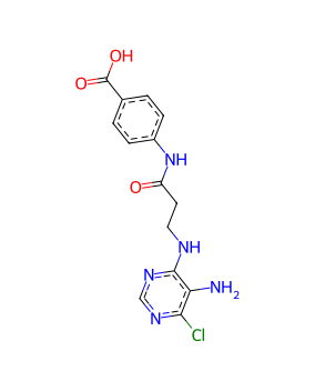 Nc1c(Cl)ncnc1NCCC(=O)Nc1ccc(C(=O)O)cc1